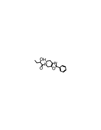 CCC(O)C(=O)N1CCc2nc(-c3ccccc3)oc2C1